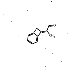 C/C(C=O)=C1/Cc2ccccc21